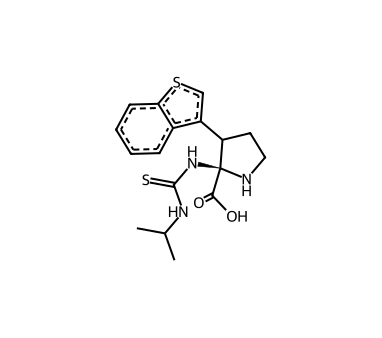 CC(C)NC(=S)N[C@]1(C(=O)O)NCCC1c1csc2ccccc12